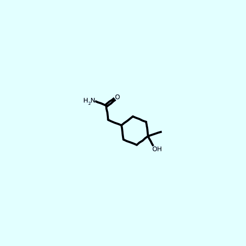 CC1(O)CCC(CC(N)=O)CC1